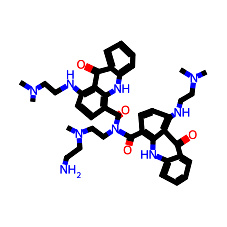 CN(C)CCNc1ccc(C(=O)N(CCN(C)CCN)C(=O)c2ccc(NCCN(C)C)c3c(=O)c4ccccc4[nH]c23)c2[nH]c3ccccc3c(=O)c12